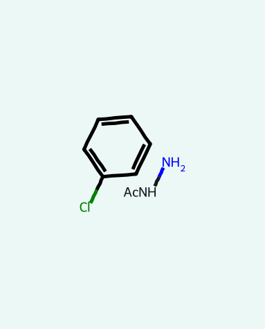 CC(=O)NN.Clc1ccccc1